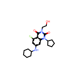 O=c1c2c(F)cc(NC3CCCCC3)cc2n(C2CCCC2)c(=O)n1CCO